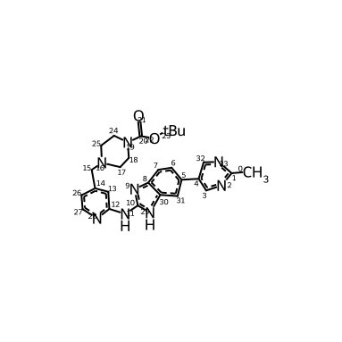 Cc1ncc(-c2ccc3nc(Nc4cc(CN5CCN(C(=O)OC(C)(C)C)CC5)ccn4)[nH]c3c2)cn1